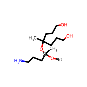 CCO[Si](C)(CCCN)OC(C)(CCCO)CCCO